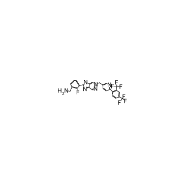 NCc1cccc(-c2nc3cnn(Cc4ccc(-c5ccc(C(F)(F)F)cc5C(F)(F)F)nc4)cc-3n2)c1F